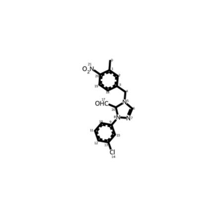 Cc1cc(CN2C=NN(c3cccc(Cl)c3)C2C=O)ccc1[N+](=O)[O-]